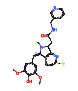 COc1cc(/C=C2\c3ccc(F)nc3C(CC(=O)NCc3cccnc3)N2C)cc(OC)c1O